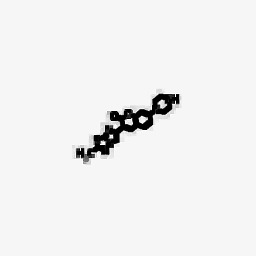 Cc1nn2cc(-c3cc4ccc(N5CCNCC5)cc4oc3=O)nc2s1